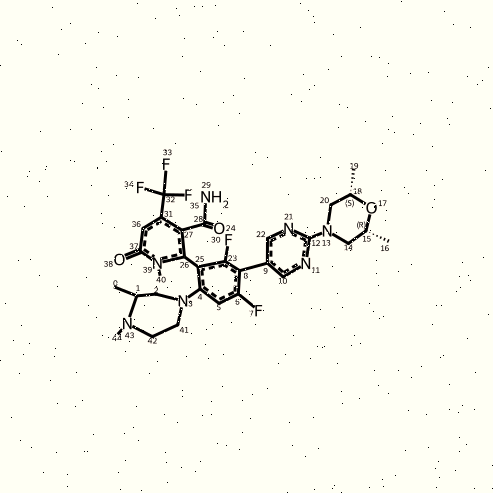 CC1CN(c2cc(F)c(-c3cnc(N4C[C@@H](C)O[C@@H](C)C4)nc3)c(F)c2-c2c(C(N)=O)c(C(F)(F)F)cc(=O)n2C)CCN1C